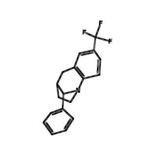 FC(F)(F)c1ccc2c(c1)CC1CCN2C1c1ccccc1